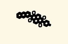 CC1CCC(C2C(=O)C3CCC4C(=O)C(c5ccc6cc7ccccc7cc6c5)C(=O)C5CCC(C2=O)C3C45)CC1